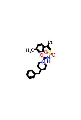 CCC(=CS(=O)(=O)NC(=O)N1CCC(Cc2ccccc2)CC1)c1ccc(C)cc1